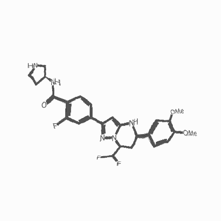 COc1ccc(C2CC(C(F)F)n3nc(-c4ccc(C(=O)N[C@H]5CCNC5)c(F)c4)cc3N2)cc1OC